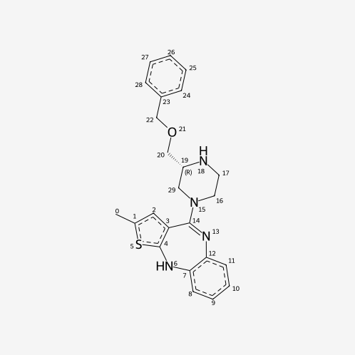 Cc1cc2c(s1)Nc1ccccc1N=C2N1CCN[C@@H](COCc2ccccc2)C1